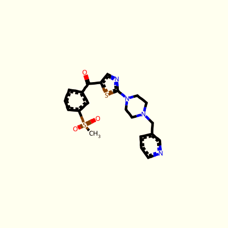 CS(=O)(=O)c1cccc(C(=O)c2cnc(N3CCN(Cc4cccnc4)CC3)s2)c1